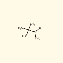 [CH2]C(C)(C)[S+](C)[O-]